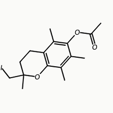 CC(=O)Oc1c(C)c(C)c2c(c1C)CCC(C)(CI)O2